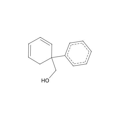 OCC1(c2ccccc2)C=CC=CC1